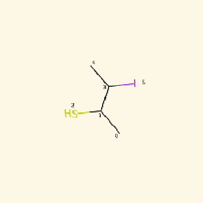 CC(S)C(C)I